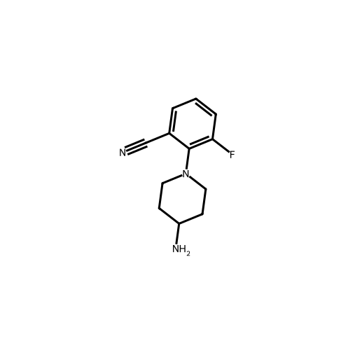 N#Cc1cccc(F)c1N1CCC(N)CC1